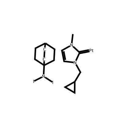 Cn1ccn(CC2CC2)[c]1=[Pt].IN(I)C12CCC(CC1)CC2